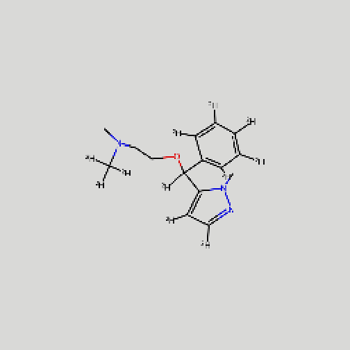 [2H]c1nn(C)c(C([2H])(OCCN(C)C([2H])([2H])[2H])c2c([2H])c([2H])c([2H])c([2H])c2[2H])c1[2H]